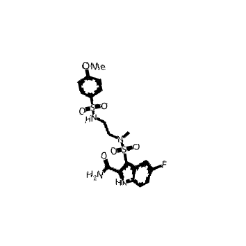 COc1ccc(S(=O)(=O)NCCN(C)S(=O)(=O)c2c(C(N)=O)[nH]c3ccc(F)cc23)cc1